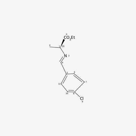 CCOC(=O)[C@H](C)N=Cc1ccc(Cl)cc1